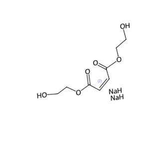 O=C(/C=C\C(=O)OCCO)OCCO.[NaH].[NaH]